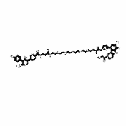 CCc1c(-c2ccc(C(=O)NCCC(=O)NCCOCCOCCOCCOCCOCCNC(=O)Cn3ccc(-c4cc(Cl)c(Cl)c5[nH]c6c(c45)CN(C(=O)CO)CC6)n3)nc2)cnc(N)c1-c1ccc(O)cc1